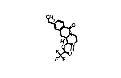 CCc1ccc2c(c1)C[C@@H]1C(OC(=O)C(F)(F)F)NCCN1C2=O